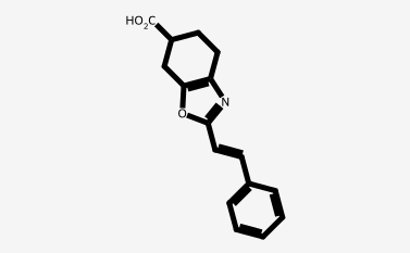 O=C(O)C1CCc2nc(/C=C/c3ccccc3)oc2C1